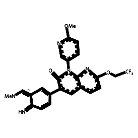 CN/C=C1/C=C(c2cc3ccc(OCC(F)(F)F)nc3n(-c3ccc(OC)nc3)c2=O)C=CC1=N